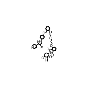 O=C1CCC(N2C(=O)c3cccc(OCCCOCCOc4ccccc4COc4ccc(-n5cc(Br)c(-c6ccncc6)n5)cc4)c3C2=O)C(=O)N1